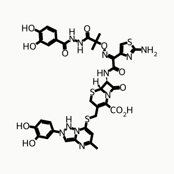 CC1=NC2=CN(c3ccc(O)c(O)c3)NN2C(SCC2=C(C(=O)O)N3C(=O)[C@@H](NC(=O)C(=NOC(C)(C)C(=O)NNC(=O)c4ccc(O)c(O)c4)c4csc(N)n4)[C@H]3SC2)=C1